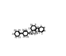 C1=Cc2sc3c(c2CC1)CCCC3NC1C=CC(C2=CCCCC2)CC1